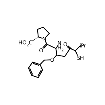 CC(C)C(S)C(=O)CC(OCc1ccccc1)C(N)C(=O)N1CCC[C@H]1C(=O)O